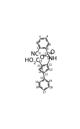 N#Cc1ccccc1S(=O)(=O)Nc1cc(-c2ccccc2)sc1C(=O)O